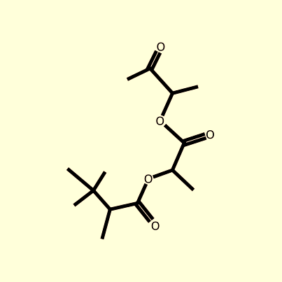 CC(=O)C(C)OC(=O)C(C)OC(=O)C(C)C(C)(C)C